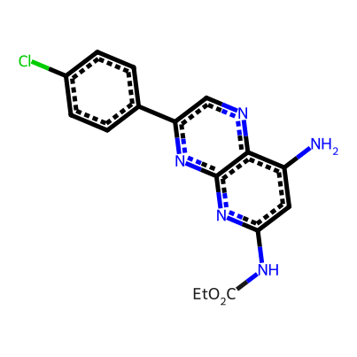 CCOC(=O)Nc1cc(N)c2ncc(-c3ccc(Cl)cc3)nc2n1